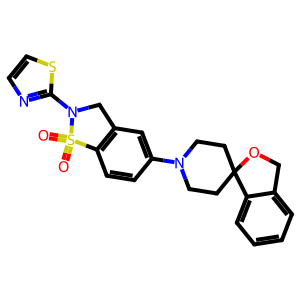 O=S1(=O)c2ccc(N3CCC4(CC3)OCc3ccccc34)cc2CN1c1nccs1